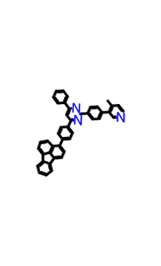 Cc1ccncc1-c1ccc(-c2nc(-c3ccccc3)cc(-c3ccc(-c4ccc5c6c(cccc46)-c4ccccc4-5)cc3)n2)cc1